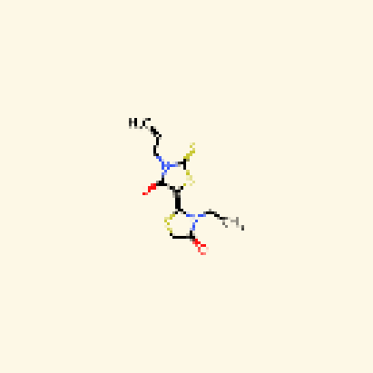 C=CCN1C(=O)/C(=C2\SCC(=O)N2CC)SC1=S